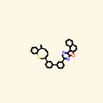 C=C1/C=C\C=C(\c2cccc(-c3cccc(-c4cnc5c(n4)oc4ccc6ccccc6c45)c3)c2)CSc2ccccc21